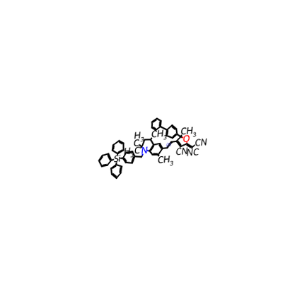 Cc1cc2c(cc1/C=C/C1=C(C#N)C(=C(C#N)C#N)OC1(C)c1ccc(-c3ccccc3)cc1)C(C)CC(C)(C)N2Cc1ccc([Si](c2ccccc2)(c2ccccc2)c2ccccc2)cc1